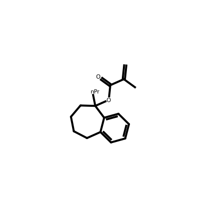 C=C(C)C(=O)OC1(CCC)CCCCc2ccccc21